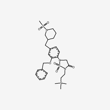 C[Si](C)(C)CCN1C(=O)CN(c2ccc(CC3CCCN(S(C)(=O)=O)C3)cc2OCc2ccccc2)S1(=O)=O